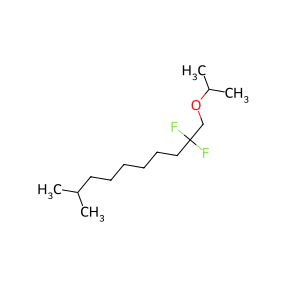 CC(C)CCCCCCC(F)(F)COC(C)C